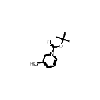 CC(C)(C)OC(=O)N1C=CC=C(O)C1